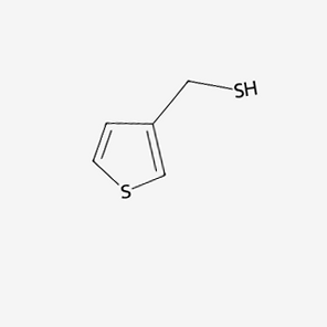 SCc1ccsc1